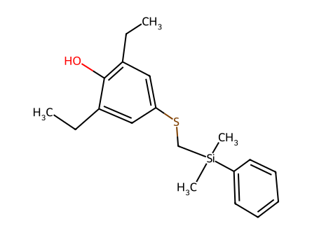 CCc1cc(SC[Si](C)(C)c2ccccc2)cc(CC)c1O